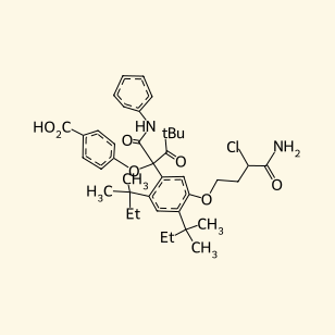 CCC(C)(C)c1cc(C(C)(C)CC)c(C(Oc2ccc(C(=O)O)cc2)(C(=O)Nc2ccccc2)C(=O)C(C)(C)C)cc1OCCC(Cl)C(N)=O